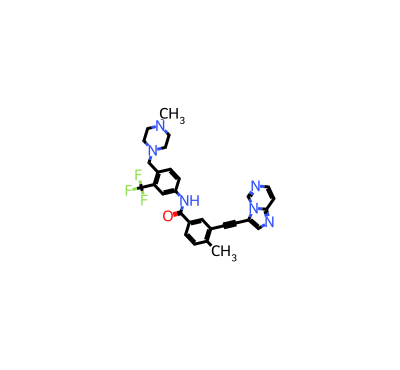 Cc1ccc(C(=O)Nc2ccc(CN3CCN(C)CC3)c(C(F)(F)F)c2)cc1C#Cc1cnc2ccncn12